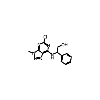 Cn1nnc2c(NC(CO)c3ccccc3)nc(Cl)nc21